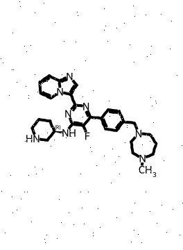 CN1CCCN(Cc2ccc(-c3nc(-c4cnc5ccccn45)nc(N[C@@H]4CCCNC4)c3F)cc2)CC1